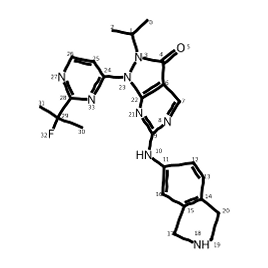 CC(C)n1c(=O)c2cnc(Nc3ccc4c(c3)CNCC4)nc2n1-c1ccnc(C(C)(C)F)n1